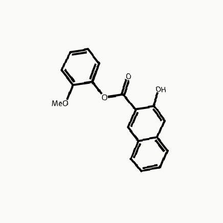 COc1ccccc1OC(=O)c1cc2ccccc2cc1O